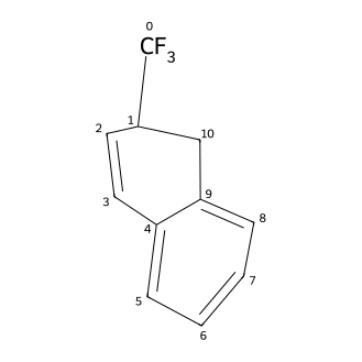 FC(F)(F)C1C=Cc2ccccc2C1